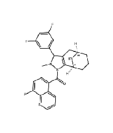 CN1C(c2cc(F)cc(F)c2)C2=C([C@@H]3CCC[C@H](C2)N3)N1C(=O)c1ccc(F)c2ncccc12